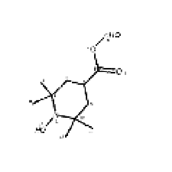 CC1(C)CC(C(=O)OC=O)CC(C)(C)N1O